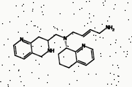 NC/C=C/CN(CC1Cc2ncccc2CN1)[C@H]1CCCc2cccnc21